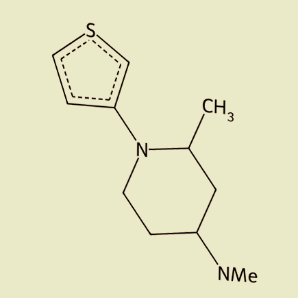 CNC1CCN(c2ccsc2)C(C)C1